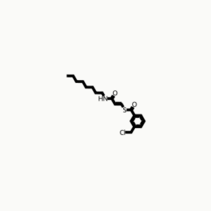 CCCCCCCCNC(=O)C=CSC(=O)c1cccc(CCl)c1